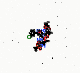 C=C[C@@H]1CC1(NC(=O)[C@@H]1C[C@]2(CC(c3cccc(Cl)c3)=NO2)CN1C(=O)[C@@H](NC(=O)OC(C)(C)C)C(C)(C)C)C(=O)NS(=O)(=O)C1CC1